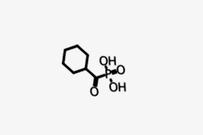 O=C(C1CCCCC1)P(=O)(O)O